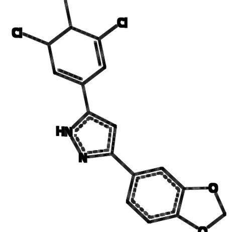 CC1C(Cl)=CC(c2cc(-c3ccc4c(c3)OCO4)n[nH]2)=CC1Cl